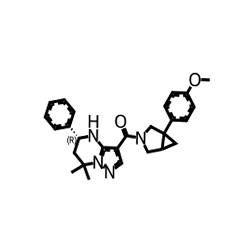 COc1ccc(C23CC2CN(C(=O)c2cnn4c2N[C@@H](c2ccccc2)CC4(C)C)C3)cc1